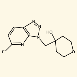 OC1(Cn2nnc3ccc(Cl)nc32)CCOCC1